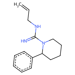 C=CCNC(=N)N1CCCCC1c1ccccc1